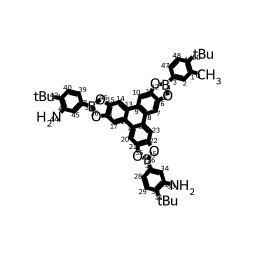 Cc1cc(B2Oc3cc4c(cc3O2)c2cc3c(cc2c2cc5c(cc42)OB(c2ccc(C(C)(C)C)c(N)c2)O5)OB(c2ccc(C(C)(C)C)c(N)c2)O3)ccc1C(C)(C)C